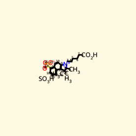 CC1=[N+](CCCCCC(=O)O)c2ccc3c(S(=O)(=O)[O-])cc(S(=O)(=O)O)cc3c2C1(C)C